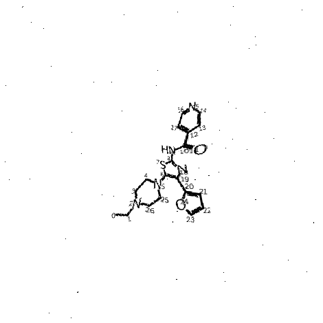 CCN1CCN(c2sc(NC(=O)c3ccncc3)nc2-c2ccco2)CC1